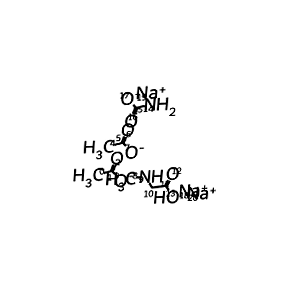 CC(=O)[O-].CC(=O)[O-].CNCC(=O)O.NC(=O)[O-].[Na+].[Na+].[Na+]